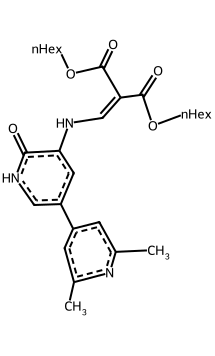 CCCCCCOC(=O)C(=CNc1cc(-c2cc(C)nc(C)c2)c[nH]c1=O)C(=O)OCCCCCC